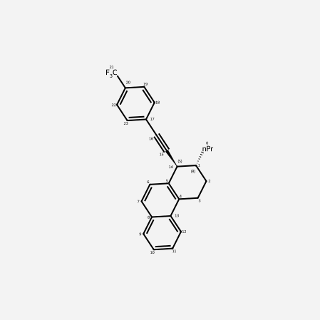 CCC[C@@H]1CCc2c(ccc3ccccc23)[C@H]1C#Cc1ccc(C(F)(F)F)cc1